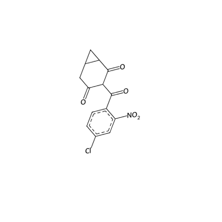 O=C1CC2CC2C(=O)C1C(=O)c1ccc(Cl)cc1[N+](=O)[O-]